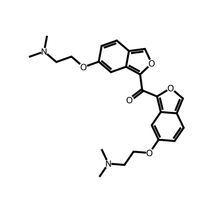 CN(C)CCOc1ccc2coc(C(=O)c3occ4ccc(OCCN(C)C)cc34)c2c1